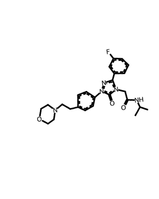 CC(C)NC(=O)Cn1c(-c2cccc(F)c2)nn(-c2ccc(CCN3CCOCC3)cc2)c1=O